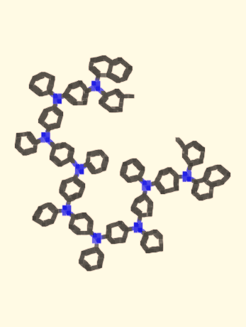 Cc1cccc(N(c2ccc(N(c3ccccc3)c3ccc(N(c4ccccc4)c4ccc(N(c5ccccc5)c5ccc(N(c6ccccc6)c6ccc(N(c7ccccc7)c7ccc(N(c8ccccc8)c8ccc(N(c9ccccc9)c9ccc(N(c%10cccc(C)c%10)c%10cccc%11ccccc%10%11)cc9)cc8)cc7)cc6)cc5)cc4)cc3)cc2)c2cccc3ccccc23)c1